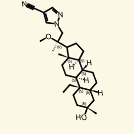 CC[C@]12CC[C@@](C)(O)C[C@H]1CC[C@@H]1[C@@H]2CC[C@]2(C)C([C@](C)(Cn3cc(C#N)cn3)OC)CC[C@@H]12